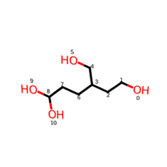 OCCC(CO)CCC(O)O